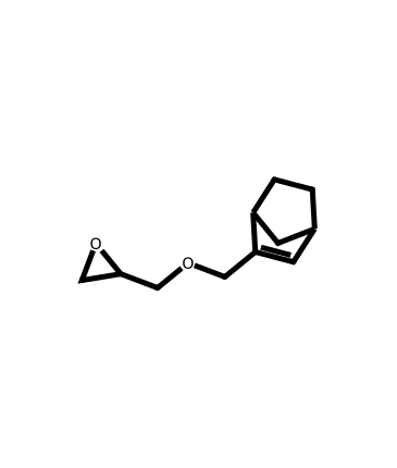 C1=C(COCC2CO2)C2CCC1C2